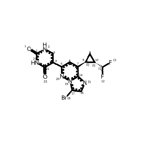 O=c1[nH]cc(-c2cc([C@H]3C[C@@H]3C(F)F)c3ncc(Br)n3n2)c(=O)[nH]1